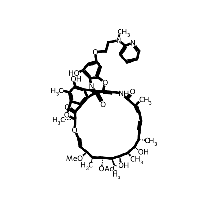 CO[C@H]1/C=C/O[C@@]2(C)Oc3c(C)c(O)c4c(=O)c(c5oc6cc(OCCN(C)c7ccccn7)cc(O)c6nc-5c4c3C2=O)NC(=O)/C(C)=C\C=C\[C@H](C)[C@H](O)[C@@H](C)[C@@H](O)[C@@H](C)[C@H](OC(C)=O)[C@@H]1C